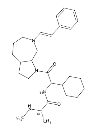 CN[C@@H](C)C(=O)NC(C(=O)N1CCC2CCCN(C=Cc3ccccc3)CC21)C1CCCCC1